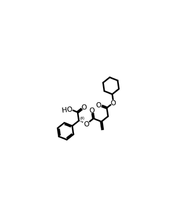 C=C(CC(=O)OC1CCCCC1)C(=O)O[C@@H](C(=O)O)c1ccccc1